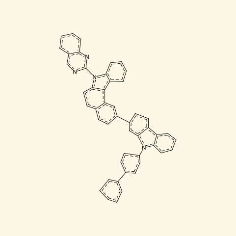 c1ccc(-c2ccc(-n3c4ccccc4c4ccc(-c5ccc6ccc7c(c6c5)c5ccccc5n7-c5ncc6ccccc6n5)cc43)cc2)cc1